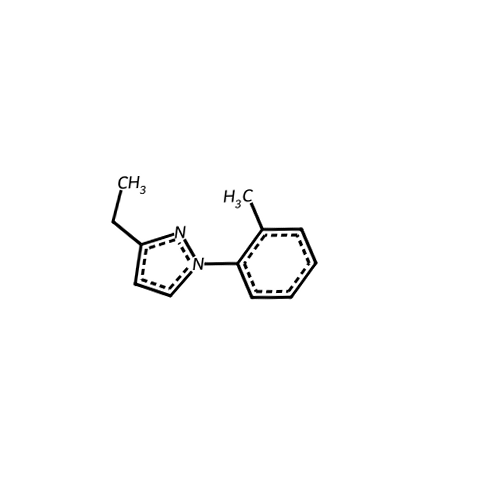 CCc1ccn(-c2ccccc2C)n1